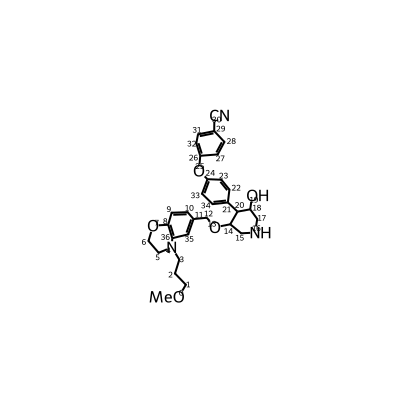 COCCCN1CCOc2ccc(COC3CNCC(O)C3c3ccc(Oc4ccc(C#N)cc4)cc3)cc21